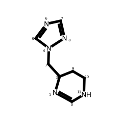 C1=NC(Cn2cncn2)CCN1